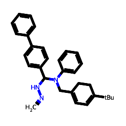 C=NNC(c1ccc(-c2ccccc2)cc1)N(CC1=CC=C(C(C)(C)C)CC1)c1ccccc1